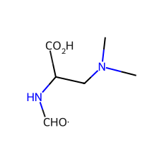 CN(C)CC(N[C]=O)C(=O)O